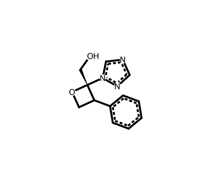 OC[C@]1(n2cncn2)OCC1c1ccccc1